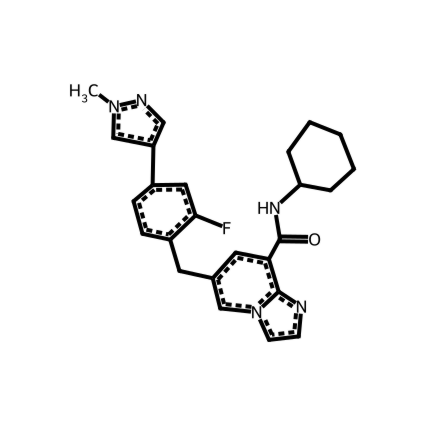 Cn1cc(-c2ccc(Cc3cc(C(=O)NC4CCCCC4)c4nccn4c3)c(F)c2)cn1